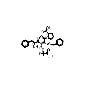 N[C@@H](Cc1ccccc1)C(=O)N[C@@H](COCc1ccccc1)C(=O)N1CCC[C@H]1C(=O)O.O=C(O)C(F)(F)F